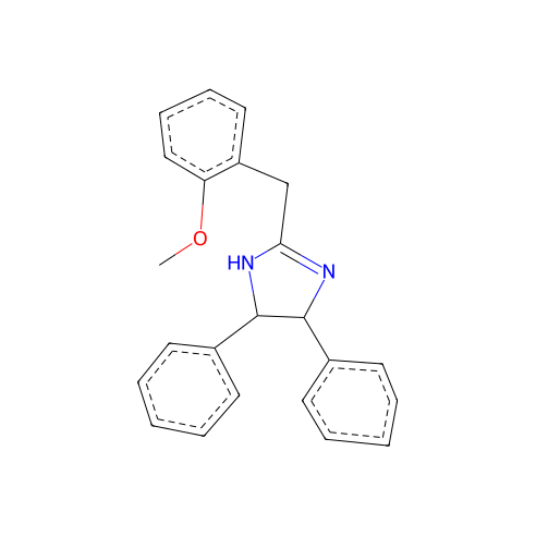 COc1ccccc1CC1=NC(c2ccccc2)C(c2ccccc2)N1